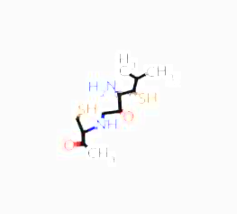 CC(=O)C(CS)NCC(=O)[C@@H](N)[C@H](S)C(C)C